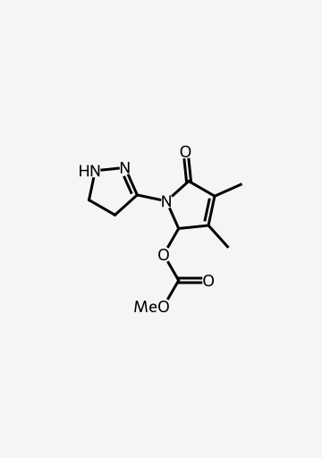 COC(=O)OC1C(C)=C(C)C(=O)N1C1=NNCC1